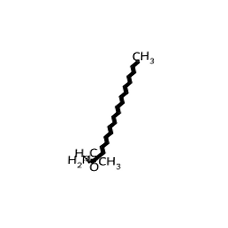 CCCCCCCCCCCCCCCCCCCCC(C)(C)C(N)=O